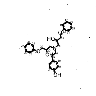 Oc1ccc(CCN(CC(O)COc2ccccc2)CC(O)COc2ccccc2)cc1